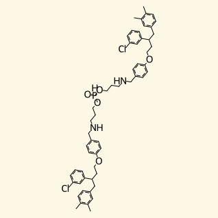 Cc1ccc(CC(CCOc2ccc(CNCCCO[PH](=O)OCCCNCc3ccc(OCCC(Cc4ccc(C)c(C)c4)c4cccc(Cl)c4)cc3)cc2)c2cccc(Cl)c2)cc1C